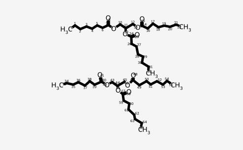 CCCCCCCC(=O)OCC(COC(=O)CCCCCCC)OC(=O)CCCCCCC.CCCCCCCC(=O)OCC(COC(=O)CCCCCCC)OC(=O)CCCCCCC